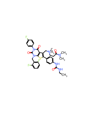 CCNC(=O)Nc1ccc(-c2sc3c(c2CN(C)CCC(=O)N(C)C)c(=O)n(-c2ccc(F)cc2)c(=O)n3Cc2c(F)cccc2F)cc1